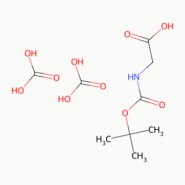 CC(C)(C)OC(=O)NCC(=O)O.O=C(O)O.O=C(O)O